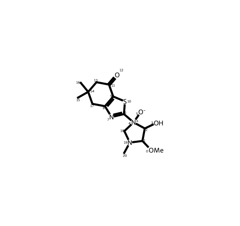 COC1C(O)[N+]([O-])(c2nc3c(s2)C(=O)CC(C)(C)C3)CN1C